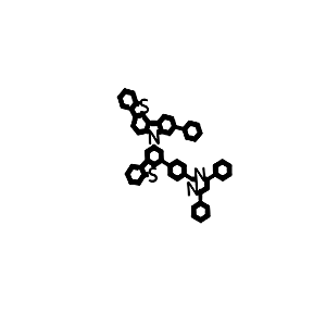 c1ccc(-c2ccc3c4c5sc6ccccc6c5ccc4n(-c4cc(-c5ccc(-c6nc(-c7ccccc7)cc(-c7ccccc7)n6)cc5)c5sc6ccccc6c5c4)c3c2)cc1